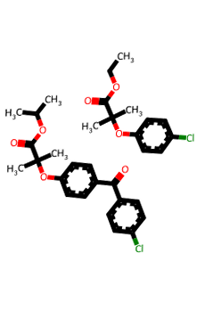 CC(C)OC(=O)C(C)(C)Oc1ccc(C(=O)c2ccc(Cl)cc2)cc1.CCOC(=O)C(C)(C)Oc1ccc(Cl)cc1